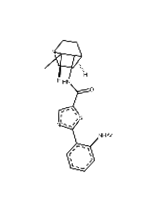 CC(=O)Nc1ccccc1-c1ncc(C(=O)N[C@@H]2C3CCN(CC3)[C@H]2C)s1